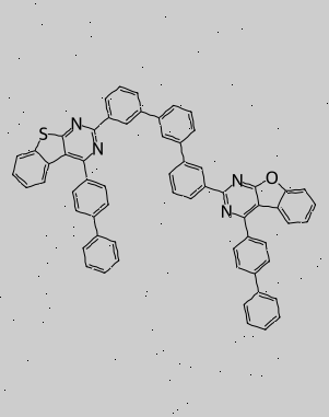 c1ccc(-c2ccc(-c3nc(-c4cccc(-c5cccc(-c6cccc(-c7nc(-c8ccc(-c9ccccc9)cc8)c8c(n7)sc7ccccc78)c6)c5)c4)nc4oc5ccccc5c34)cc2)cc1